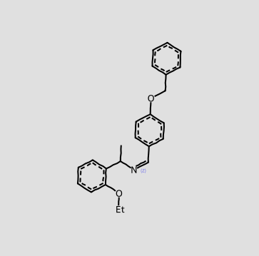 CCOc1ccccc1C(C)/N=C\c1ccc(OCc2ccccc2)cc1